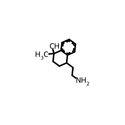 CC1(C)CCC(CCN)c2ccccc21